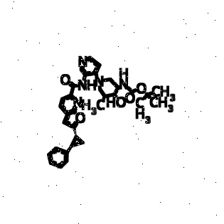 C[C@H]1CN(c2ccncc2NC(=O)c2ccc3cc([C@@H]4C[C@H]4c4ccccc4)oc3n2)C[C@@H](NC(=O)OC(C)(C)C)[C@@H]1O